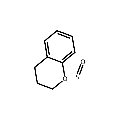 O=S.c1ccc2c(c1)CCCO2